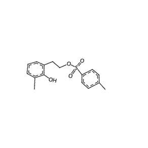 Cc1ccc(S(=O)(=O)OCCc2cccc(C)c2O)cc1